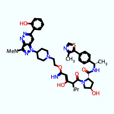 CNc1nn(C2CCN(CCOC(=N)/C=C(\O)C(C(=O)N3C[C@H](O)C[C@H]3C(=O)N[C@@H](C)c3ccc(-c4scnc4C)cc3)C(C)C)CC2)c2cc(-c3ccccc3O)nnc12